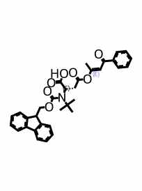 C/C(=C\C(=O)c1ccccc1)OC(=O)C[C@@H](C(=O)O)N(C(=O)OCC1c2ccccc2-c2ccccc21)C(C)(C)C